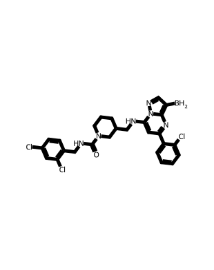 Bc1cnn2c(NCC3CCCN(C(=O)NCc4ccc(Cl)cc4Cl)C3)cc(-c3ccccc3Cl)nc12